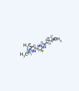 Cc1cn2nc(-c3cc(F)c4nc(C5CC6(CCN(C)C6)C5)cn4c3)cc(C)c2n1